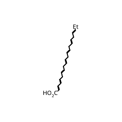 CCC=CCC=CCC=CCC=CCC=CCC=CC=CC(=O)O